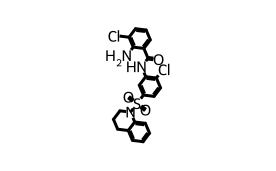 Nc1c(Cl)cccc1C(=O)Nc1cc(S(=O)(=O)N2CCCc3ccccc32)ccc1Cl